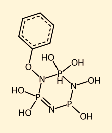 ON1P(O)N=P(O)(O)N(Oc2ccccc2)[PH]1(O)O